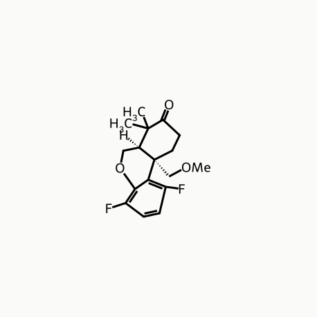 COC[C@@]12CCC(=O)C(C)(C)[C@@H]1COc1c(F)ccc(F)c12